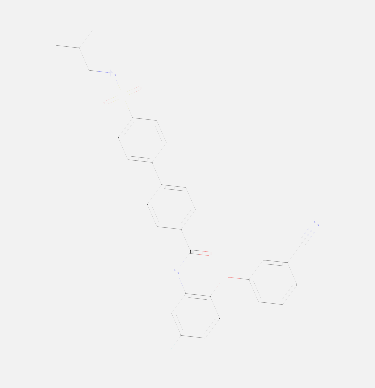 CC(C)CNS(=O)(=O)c1ccc(-c2ccc(C(=O)Nc3cc(F)ccc3Oc3cccc(C#N)c3)cc2)cc1